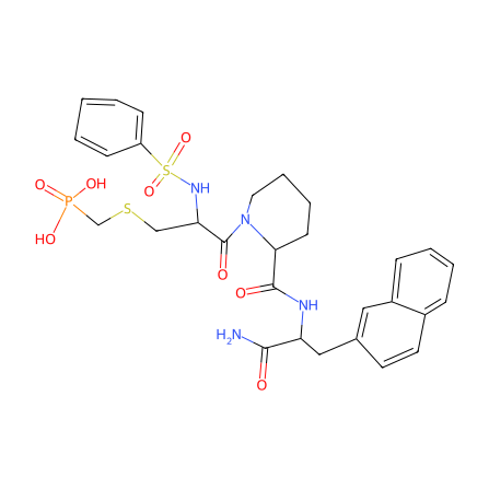 NC(=O)C(Cc1ccc2ccccc2c1)NC(=O)C1CCCCN1C(=O)C(CSCP(=O)(O)O)NS(=O)(=O)c1ccccc1